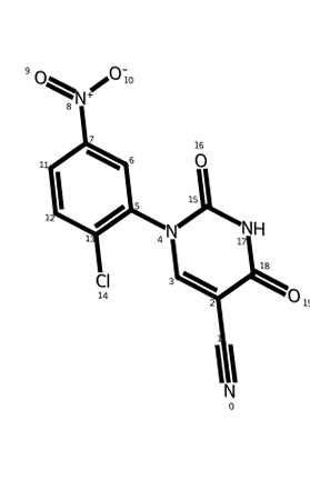 N#Cc1cn(-c2cc([N+](=O)[O-])ccc2Cl)c(=O)[nH]c1=O